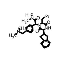 CC(C)CC1C(=O)NC(C2Cc3ccccc3C2)C(=O)N1C(C(=O)N(C)C)c1ccc(CN(C)C)cc1